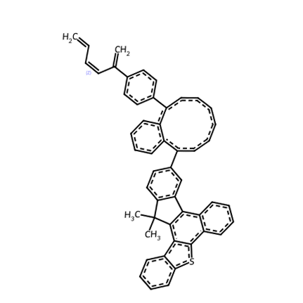 C=C/C=C\C(=C)c1ccc(-c2ccccccc(-c3ccc4c(c3)-c3c(c5c6ccccc6sc5c5ccccc35)C4(C)C)c3ccccc23)cc1